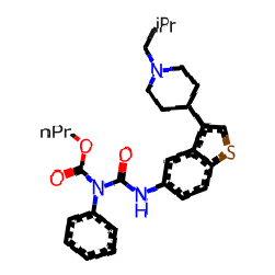 CCCOC(=O)N(C(=O)Nc1ccc2scc(C3CCN(CC(C)C)CC3)c2c1)c1ccccc1